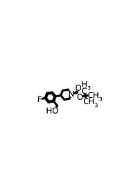 CC(C)(C)OC(=O)N1CCC(c2ccc(F)cc2CO)CC1